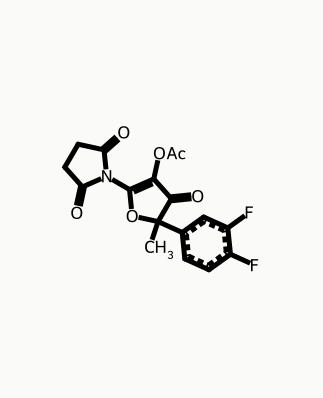 CC(=O)OC1=C(N2C(=O)CCC2=O)OC(C)(c2ccc(F)c(F)c2)C1=O